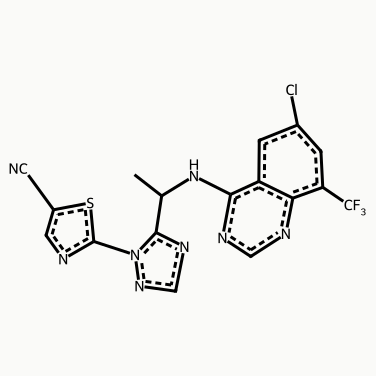 CC(Nc1ncnc2c(C(F)(F)F)cc(Cl)cc12)c1ncnn1-c1ncc(C#N)s1